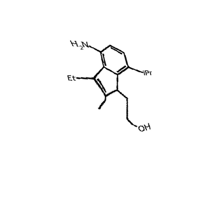 CCC1=C(C)C(CCO)c2c(C(C)C)ccc(N)c21